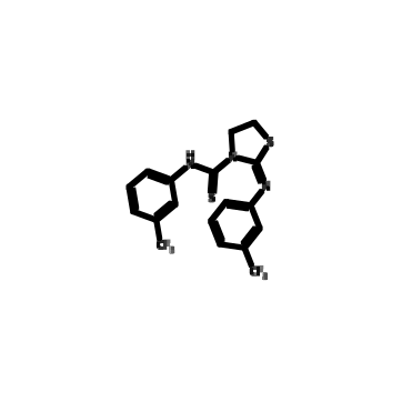 FC(F)(F)c1cccc(/N=C2/SCCN2C(=S)Nc2cccc(C(F)(F)F)c2)c1